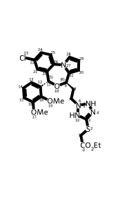 CCOC(=O)CSC1=NNN(CC[C@H]2O[C@H](c3cccc(OC)c3OC)c3cc(Cl)ccc3-n3cccc32)N1